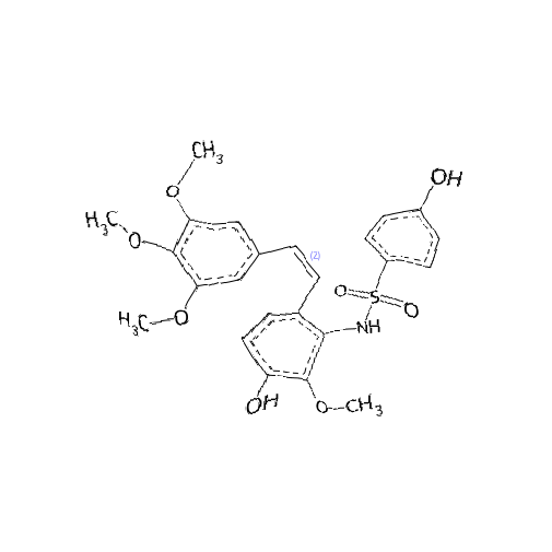 COc1cc(/C=C\c2ccc(O)c(OC)c2NS(=O)(=O)c2ccc(O)cc2)cc(OC)c1OC